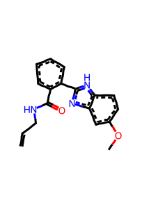 C=CCNC(=O)c1ccccc1-c1nc2cc(OC)ccc2[nH]1